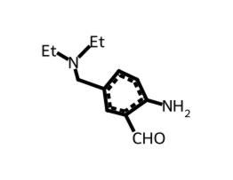 CCN(CC)Cc1ccc(N)c(C=O)c1